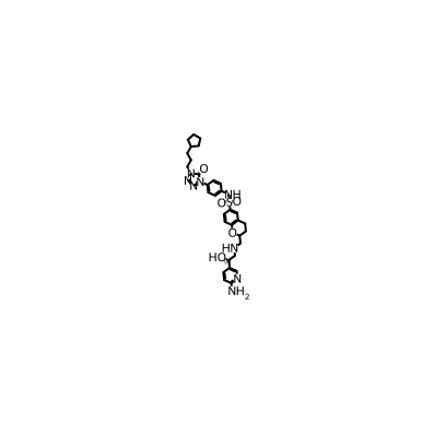 Nc1ccc([C@@H](O)CNCC2CCc3cc(S(=O)(=O)Nc4ccc(-n5nnn(CCCC6CCCC6)c5=O)cc4)ccc3O2)cn1